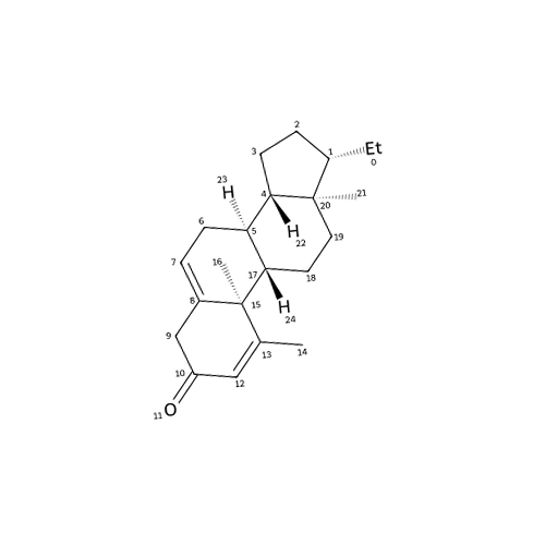 CC[C@H]1CC[C@H]2[C@@H]3CC=C4CC(=O)C=C(C)[C@]4(C)[C@H]3CC[C@]12C